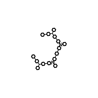 c1ccc(-c2ccc(C(c3ccccc3)c3ccc(-c4ccc(N(c5ccccc5)c5ccc(-c6ccc(-c7ccc(N(c8ccccc8)c8ccc(-c9ccc(C(c%10ccccc%10)c%10ccc(-c%11ccccc%11)cc%10)cc9)cc8)cc7)cc6)cc5)cc4)cc3)cc2)cc1